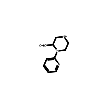 O=CC1CNCCN1c1ccccn1